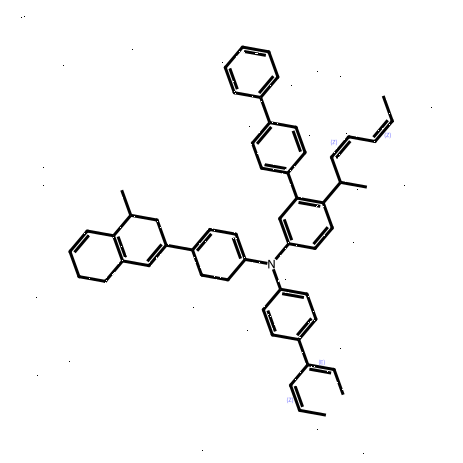 C/C=C\C=C/C(C)c1ccc(N(C2=CC=C(C3=CC4=C(C=CCC4)C(C)C3)CC2)c2ccc(C(/C=C\C)=C/C)cc2)cc1-c1ccc(-c2ccccc2)cc1